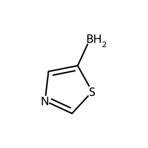 Bc1cncs1